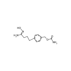 NC(=O)OCc1ccc(CCCC(N)=NO)cc1